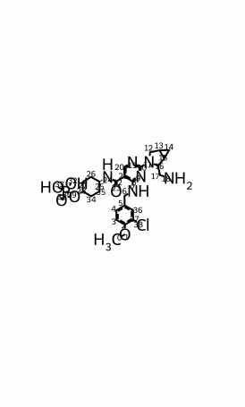 COc1ccc(CNc2nc(N3CC4CC4C3CN)ncc2C(=O)N[C@H]2CC[C@H](OP(=O)(O)O)CC2)cc1Cl